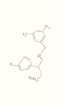 CCOC(=O)CC(COCc1cc(C(F)(F)F)cc(C(F)(F)F)c1)c1ccc(F)cc1